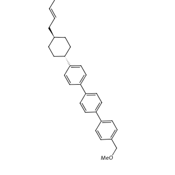 CC=CC[C@H]1CC[C@H](c2ccc(-c3ccc(-c4ccc(COC)cc4)cc3)cc2)CC1